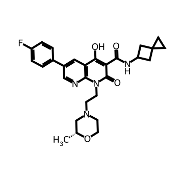 C[C@@H]1CN(CCn2c(=O)c(C(=O)NC3CC4(CC4)C3)c(O)c3cc(-c4ccc(F)cc4)cnc32)CCO1